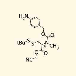 CN(C(=O)OCc1ccc(N)cc1)[C@H](CSSC(C)(C)C)C(=O)OCC#N